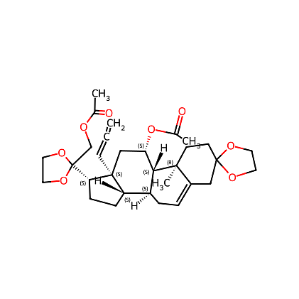 C=C=C[C@]12C[C@H](OC(C)=O)[C@H]3[C@@H](CC=C4CC5(CC[C@@]43C)OCCO5)[C@@H]1CC[C@@H]2C1(COC(C)=O)OCCO1